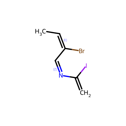 C=C(I)/N=C\C(Br)=C/C